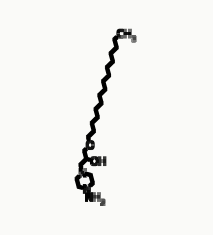 CCCCCCCCCCCCCCCCOCC(O)CN1CCN(N)CC1